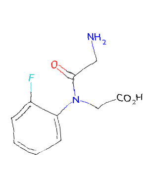 NCC(=O)N(CC(=O)O)c1ccccc1F